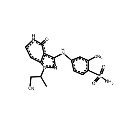 CC(CC#N)n1nc(Nc2ccc(S(N)(=O)=O)c(C(C)(C)C)c2)c2c(=O)[nH]ccc21